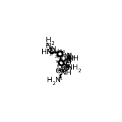 NCCNS(=O)(=O)c1ccc(-c2cccc(-c3c[nH]c(N)n3)c2)c(-c2nn[nH]n2)c1S(N)(=O)=O